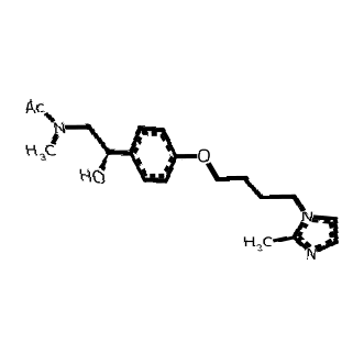 CC(=O)N(C)C[C@H](O)c1ccc(OCCCCn2ccnc2C)cc1